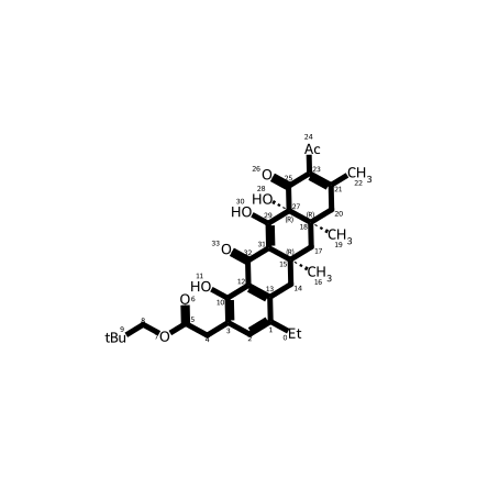 CCc1cc(CC(=O)OCC(C)(C)C)c(O)c2c1C[C@]1(C)C[C@]3(C)CC(C)=C(C(C)=O)C(=O)[C@]3(O)C(O)=C1C2=O